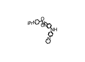 CC(C)N1CCC(C(=O)N(O)Cc2ccc(Nc3ccc(N4CCCCC4)cc3)cc2)CC1